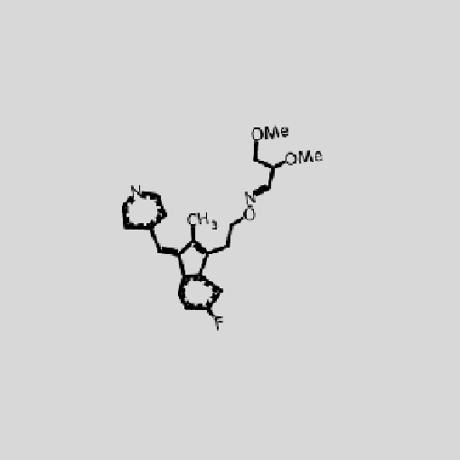 COCC(C=NOCCC1=C(C)C(=Cc2ccncc2)c2ccc(F)cc21)OC